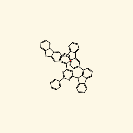 c1ccc(-c2nc(-c3ccccc3)nc(-n3c4ccccc4c4cccc(-c5ccc6c(c5)c5ccccc5n6-c5ccc6oc7ccccc7c6c5)c43)n2)cc1